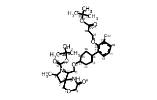 CC1CC2(COCC(=O)N2)C(COC2CCC(c3cccc(F)c3OCCC(=O)OC(C)(C)C)CC2)N1C(=O)OC(C)(C)C